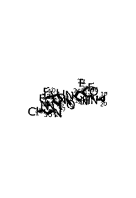 C[C@@]1(C(F)(F)F)CN(C(=O)Nc2cnc(C(=O)NC3CC3)c(C(F)F)c2)c2cnc3cc(Cl)nn3c21